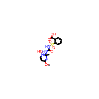 COC1=NC(C)(NC(=O)NS(=O)(=O)c2ccccc2C(=O)O)N(O)C=C1